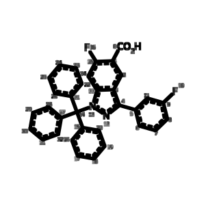 O=C(O)c1cc2c(-c3cccc(F)c3)nn(C(c3ccccc3)(c3ccccc3)c3ccccc3)c2cc1F